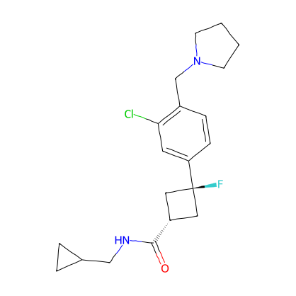 O=C(NCC1CC1)[C@H]1C[C@@](F)(c2ccc(CN3CCCC3)c(Cl)c2)C1